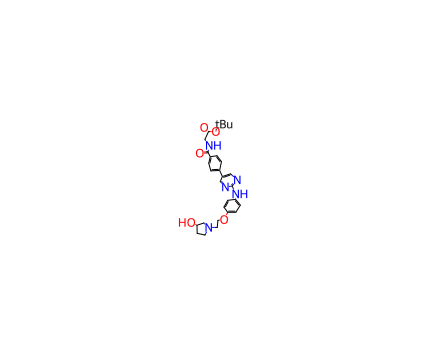 CC(C)(C)OC(=O)CNC(=O)c1ccc(-c2cnc(Nc3ccc(OCCN4CCC(O)C4)cc3)nc2)cc1